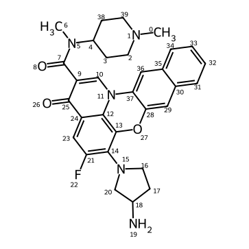 CN1CCC(N(C)C(=O)c2cn3c4c(c(N5CCC(N)C5)c(F)cc4c2=O)Oc2cc4ccccc4cc2-3)CC1